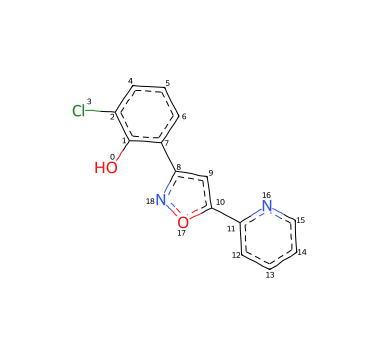 Oc1c(Cl)cccc1-c1cc(-c2ccccn2)on1